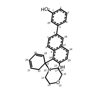 Oc1cccc(-c2ccc3c(C4(N5CCOCC5)C=CC=CC4)c(O)ccc3c2)c1